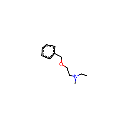 CCN(C)CCOCc1ccccc1